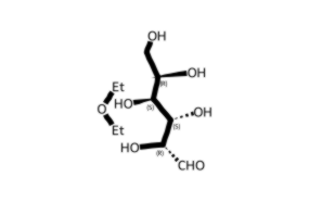 CCOCC.O=C[C@H](O)[C@@H](O)[C@@H](O)[C@H](O)CO